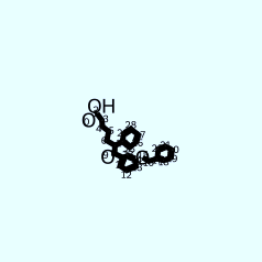 O=C(O)CCCCC(C(=O)c1cccc(OCc2ccccc2)c1)c1ccccc1